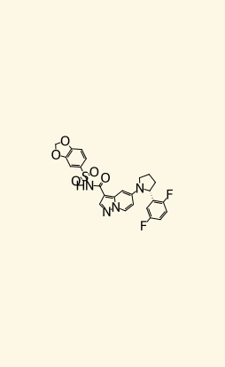 O=C(NS(=O)(=O)c1ccc2c(c1)OCO2)c1cnn2ccc(N3CCC[C@@H]3c3cc(F)ccc3F)cc12